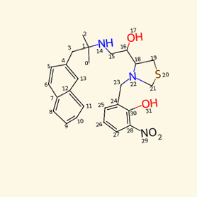 CC(C)(Cc1ccc2ccccc2c1)NCC(O)C1CSCN1Cc1cccc([N+](=O)[O-])c1O